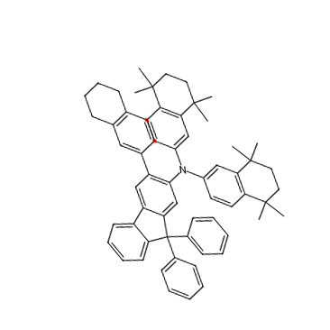 CC1(C)CCC(C)(C)c2cc(N(c3ccc4c(c3)C(C)(C)CCC4(C)C)c3cc4c(cc3-c3ccc5c(c3)CCCC5)-c3ccccc3C4(c3ccccc3)c3ccccc3)ccc21